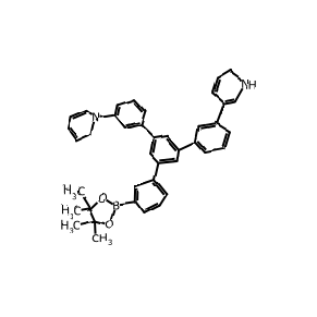 CC1(C)OB(c2cccc(-c3cc(-c4cccc(C5=CNCC=C5)c4)cc(-c4cccc(N5C=CC=CC5)c4)c3)c2)OC1(C)C